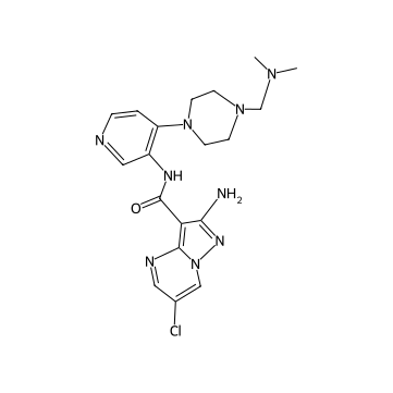 CN(C)CN1CCN(c2ccncc2NC(=O)c2c(N)nn3cc(Cl)cnc23)CC1